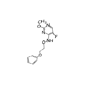 COc1ncc(F)c(NOCCOc2ccccc2)n1